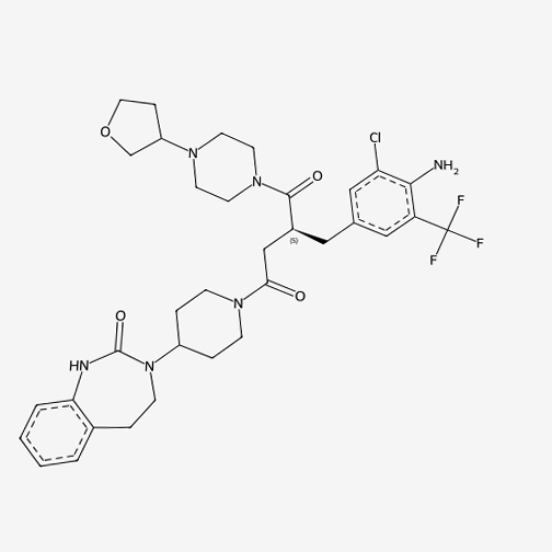 Nc1c(Cl)cc(C[C@@H](CC(=O)N2CCC(N3CCc4ccccc4NC3=O)CC2)C(=O)N2CCN(C3CCOC3)CC2)cc1C(F)(F)F